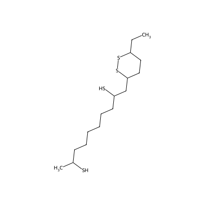 CCC1CCC(CC(S)CCCCCCC(C)S)SS1